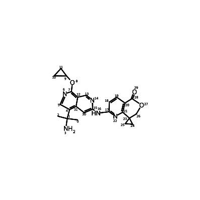 CC(C)(N)c1cnc(OC2CC2)c2cnc(Nc3ccc4c(n3)C3(CC3)COC4=O)cc12